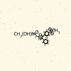 CN(O)C(=O)Cc1nc(-c2ccccc2)c(-c2ccc(S(C)(=O)=O)cc2)o1